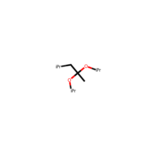 CC(C)CC(C)(OC(C)C)OC(C)C